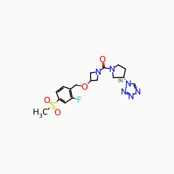 CS(=O)(=O)c1ccc(COC2CN(C(=O)N3CC[C@H](n4cnnn4)C3)C2)c(F)c1